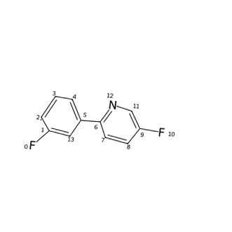 Fc1[c]ccc(-c2ccc(F)cn2)c1